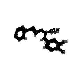 O=C(O)[C@@H](COCc1ccccc1)Oc1ccc(Cl)c(F)c1